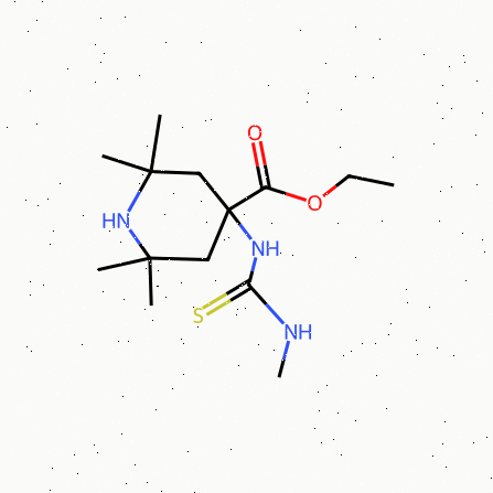 CCOC(=O)C1(NC(=S)NC)CC(C)(C)NC(C)(C)C1